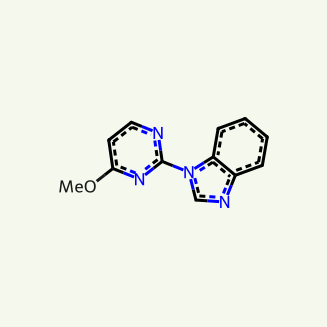 COc1ccnc(-n2cnc3ccccc32)n1